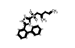 C=CCC(=C)CS(=O)(=O)c1nnc(-c2ccccc2-c2ccccc2)o1